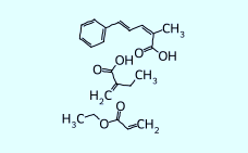 C=C(CC)C(=O)O.C=CC(=O)OCC.CC(=CC=Cc1ccccc1)C(=O)O